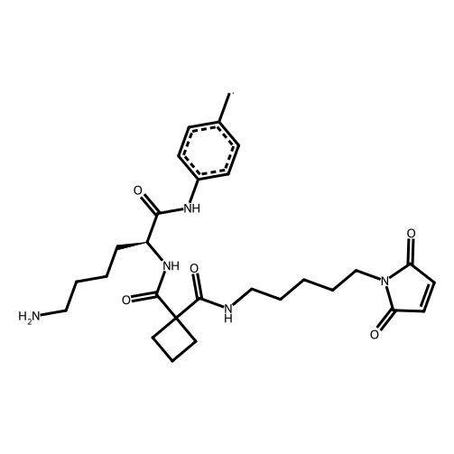 [CH2]c1ccc(NC(=O)[C@H](CCCCN)NC(=O)C2(C(=O)NCCCCCN3C(=O)C=CC3=O)CCC2)cc1